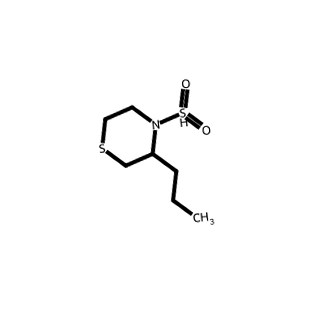 CCCC1CSCCN1[SH](=O)=O